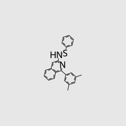 Cc1cc(C)cc(-c2nc(NSc3ccccc3)cc3ccccc23)c1